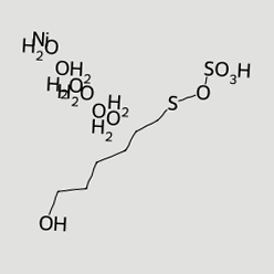 O.O.O.O.O.O.O=S(=O)(O)OSCCCCCCO.[Ni]